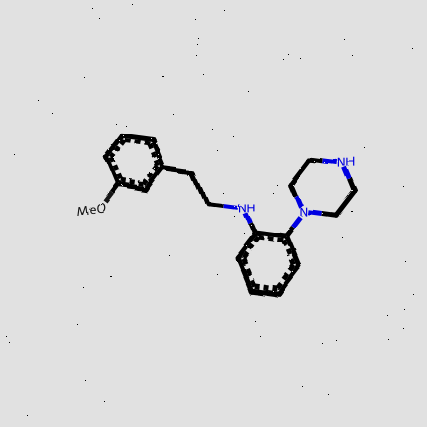 COc1cccc(CCNc2ccccc2N2CCNCC2)c1